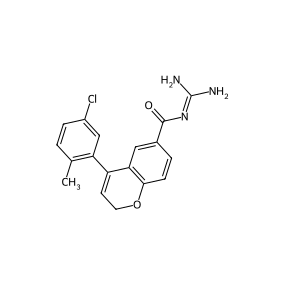 Cc1ccc(Cl)cc1C1=CCOc2ccc(C(=O)N=C(N)N)cc21